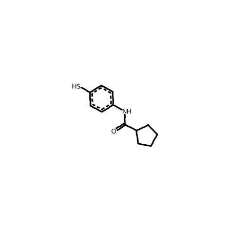 O=C(Nc1ccc(S)cc1)C1CCCC1